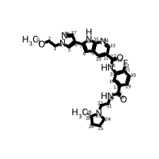 COCCn1cc(-c2cc3cc(C(=O)Nc4cc(C(=O)NCCN5CCC[C@@H]5C)ccc4F)cnc3[nH]2)cn1